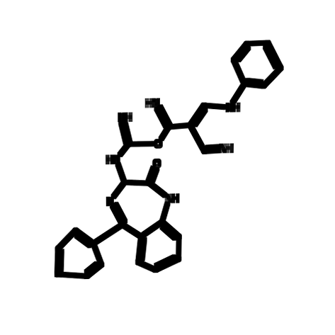 N=C/C(=C\Nc1ccccc1)C(=N)OC(=N)NC1N=C(c2ccccc2)c2ccccc2NC1=O